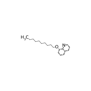 CCCCCCCCCCOc1cccc2cccnc12